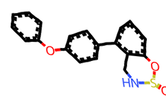 O=S1NCc2c(cccc2-c2ccc(Oc3ccccc3)cc2)O1